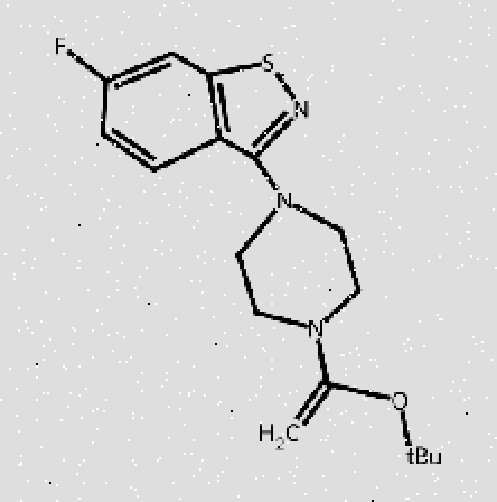 C=C(OC(C)(C)C)N1CCN(c2nsc3cc(F)ccc23)CC1